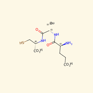 CC[C@H](C)[C@H](NC(=O)[C@@H](N)CCC(=O)O)C(=O)N[C@@H](CS)C(=O)O